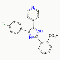 O=C(O)c1ccccc1-c1nc(-c2ccc(F)cc2)c(-c2ccncc2)[nH]1